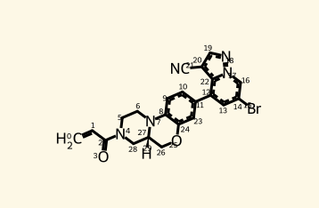 C=CC(=O)N1CCN2c3ccc(-c4cc(Br)cn5ncc(C#N)c45)cc3OC[C@@H]2C1